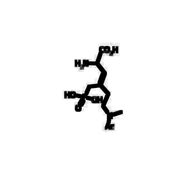 CC(=O)N(C)CCC(=CC(N)C(=O)O)CP(=O)(O)O